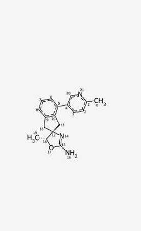 Cc1ccc(-c2cccc3c2C[C@@]2(C3)N=C(N)O[C@@H]2C)cn1